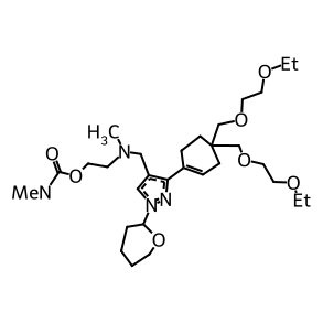 CCOCCOCC1(COCCOCC)CC=C(c2nn(C3CCCCO3)cc2CN(C)CCOC(=O)NC)CC1